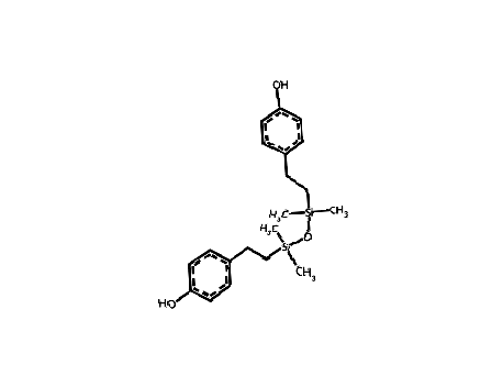 C[Si](C)(CCc1ccc(O)cc1)O[Si](C)(C)CCc1ccc(O)cc1